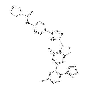 O=C(Nc1ccc(-c2cnc([C@@H]3CCc4cc(-c5cc(Cl)ccc5-n5cnnn5)cc(=O)n43)[nH]2)cc1)C1CCOC1